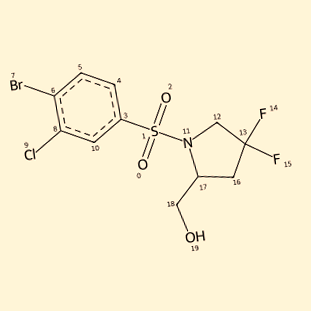 O=S(=O)(c1ccc(Br)c(Cl)c1)N1CC(F)(F)CC1CO